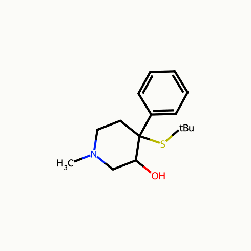 CN1CCC(SC(C)(C)C)(c2ccccc2)C(O)C1